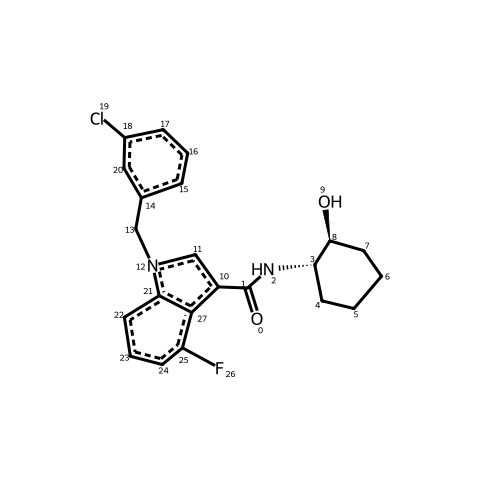 O=C(N[C@H]1CCCC[C@@H]1O)c1cn(Cc2cccc(Cl)c2)c2cccc(F)c12